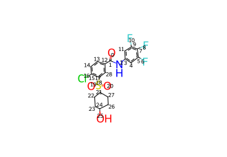 O=C(Nc1cc(F)c(F)c(F)c1)c1ccc(Cl)c(S(=O)(=O)[C@H]2CC[C@H](O)CC2)c1